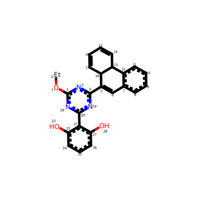 CCOc1nc(C2=Cc3ccccc3C3C=CC=CC23)nc(-c2c(O)cccc2O)n1